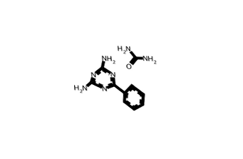 NC(N)=O.Nc1nc(N)nc(-c2ccccc2)n1